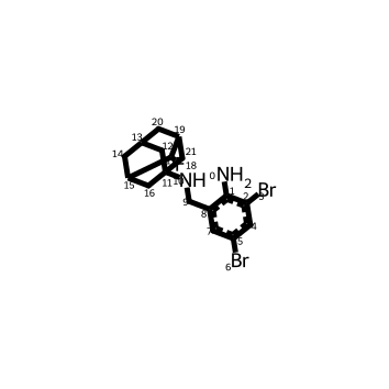 Nc1c(Br)cc(Br)cc1CNC12CC3CC(C1)C(F)C(C3)C2